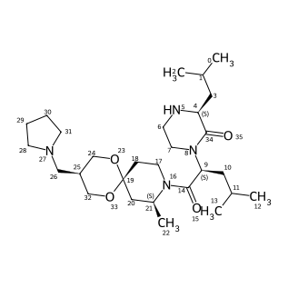 CC(C)C[C@@H]1NCCN([C@@H](CC(C)C)C(=O)N2CC[C@]3(C[C@@H]2C)OC[C@H](CN2CCCC2)CO3)C1=O